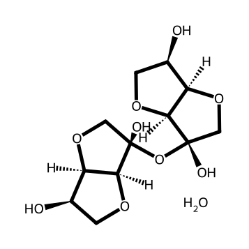 O.O[C@@H]1CO[C@H]2[C@@H]1OC[C@]2(O)O[C@@]1(O)CO[C@@H]2[C@H](O)CO[C@@H]21